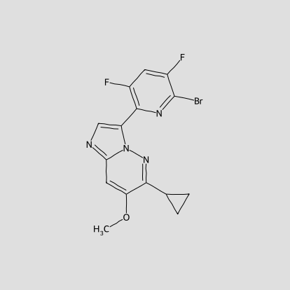 COc1cc2ncc(-c3nc(Br)c(F)cc3F)n2nc1C1CC1